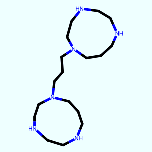 C1CNCCNCCN(CCCN2CCCNCCNCC2)C1